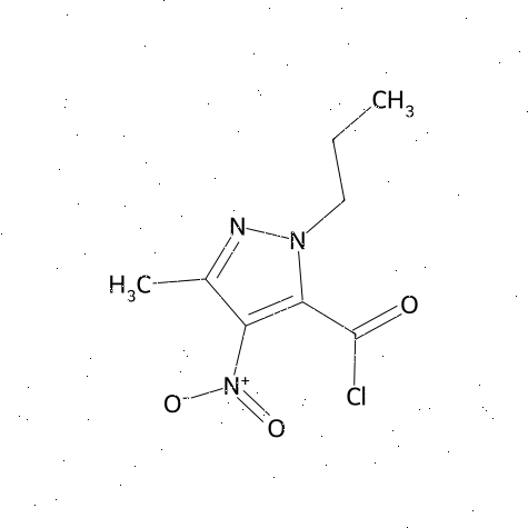 CCCn1nc(C)c([N+](=O)[O-])c1C(=O)Cl